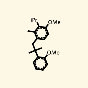 COc1ccccc1C(C)(C)Cc1ccc(OC)c(C(C)C)c1C